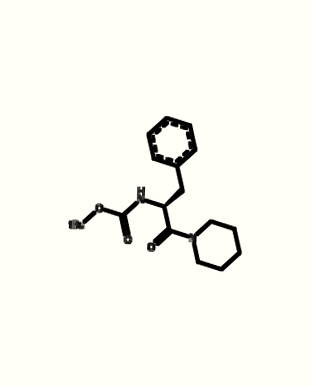 CC(C)(C)OC(=O)N[C@@H](Cc1ccccc1)C(=O)N1CCCCC1